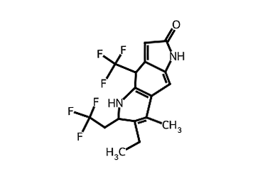 CCC1=C(C)C2=C(NC1CC(F)(F)F)C(C(F)(F)F)C1=CC(=O)NC1=C2